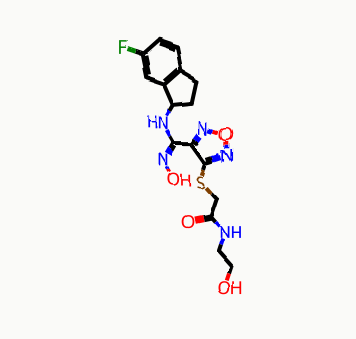 O=C(CSc1nonc1/C(=N\O)NC1CCc2ccc(F)cc21)NCCO